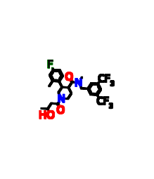 Cc1cc(F)ccc1C1CN(C(=O)CC(C)O)CCC1C(=O)N(C)Cc1cc(C(F)(F)F)cc(C(F)(F)F)c1